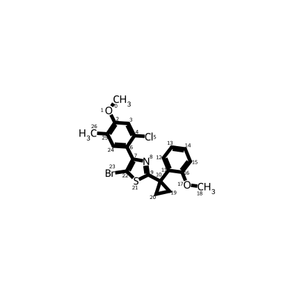 COc1cc(Cl)c(-c2nc(C3(c4ccccc4OC)CC3)sc2Br)cc1C